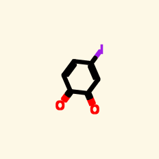 O=C1C=CC(I)=CC1=O